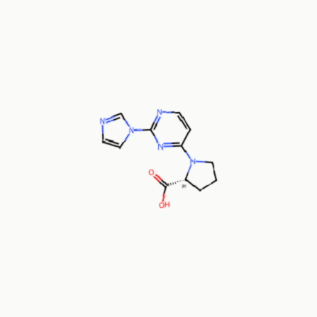 O=C(O)[C@H]1CCCN1c1ccnc(-n2ccnc2)n1